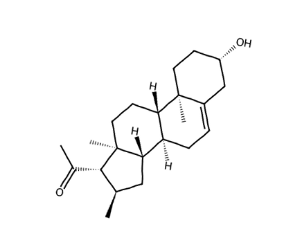 CC(=O)[C@H]1[C@H](C)C[C@H]2[C@@H]3CC=C4C[C@@H](O)CC[C@]4(C)[C@H]3CC[C@@]21C